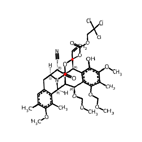 C=CCOC(=O)N1[C@@H]2c3c(cc(C)c(OC)c3C)C[C@H]1[C@H](C#N)N1C2[C@H](OCOC)c2c(OCOC)c(C)c(OC)c(O)c2[C@@H]1COC(=O)OCC(Cl)(Cl)Cl